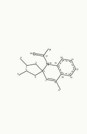 CCCC1(CCC)C=C(C)c2ccccc2N1C(C)=O